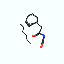 CCCCCC.O=C=NC(=O)Cc1ccccc1